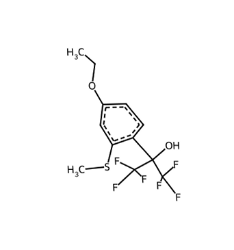 CCOc1ccc(C(O)(C(F)(F)F)C(F)(F)F)c(SC)c1